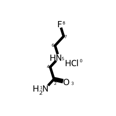 Cl.NC(=O)CNCCF